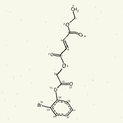 CCOC(=O)C=CC(=O)OCC(=O)Oc1ccccc1Br